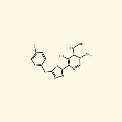 CN1C=NC(c2nnc(Cc3ccc(F)cc3)o2)=C(O)C1NO